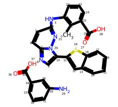 Cc1c(Nc2ccc3ncc(-c4cc5ccccc5s4)n3n2)cccc1C(=O)O.Nc1cccc(C(=O)O)c1